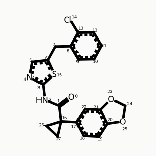 O=C(Nc1ncc(Cc2ccccc2Cl)s1)C1(c2ccc3c(c2)OCO3)CC1